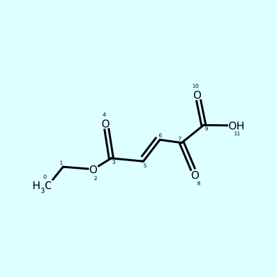 CCOC(=O)C=CC(=O)C(=O)O